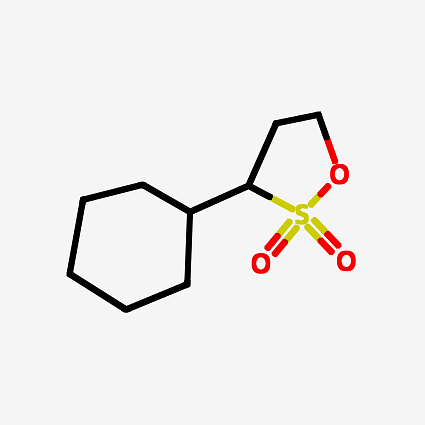 O=S1(=O)OCCC1C1CCCCC1